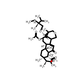 CN[C@@](C)(CO[C@H]1[C@H](OC(C)=O)C[C@@]23COCC1(C)[C@@H]2CC[C@H]1C3=CC(=O)[C@@]2(C)[C@H](C(=O)O)[C@@](C)([C@H](C)C(C)C)CC[C@]12C)C(C)C